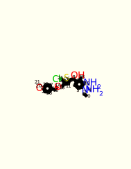 CCN(N)c1ccc(C(O)c2cc(COCc3ccc(OC)cc3)c(Cl)s2)c(C)c1N